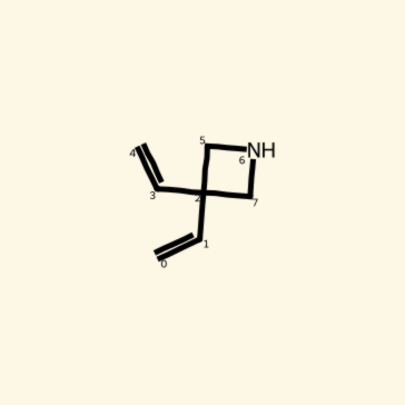 C=CC1(C=C)CNC1